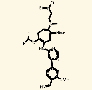 CCN(CC)CCN(C)C1=CCC(OC(F)F)=C(Nc2cc(-c3ccc(C=N)c(NC)c3)ncn2)C=C1NC